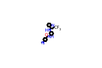 CN(C)c1ccc(C(=O)N[C@@H]2CCC[C@H](Nc3cc(C(F)(F)F)nc4ccccc34)C2)cc1